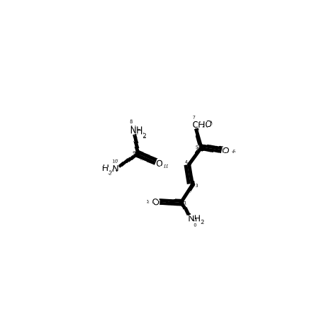 NC(=O)C=CC(=O)C=O.NC(N)=O